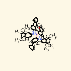 Cc1cc2c(cc1N1c3cc(-c4ccccc4)ccc3B3c4c1cc1ccccc1c4-c1c(ccc4c1C(C)(C)c1ccccc1-4)N3c1ccc3c(c1)C(C)(C)CCC3(C)C)C(C)(C)CCC2(C)C